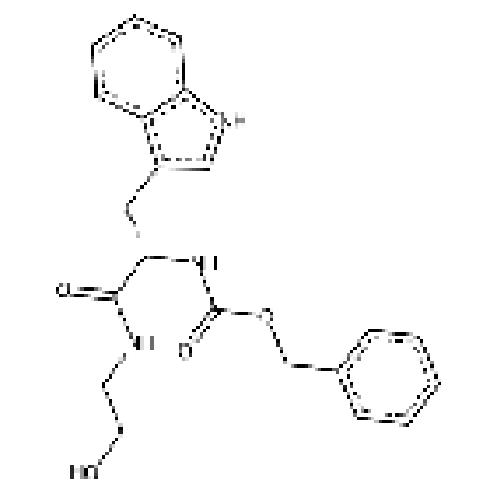 O=C(N[C@@H](Cc1c[nH]c2ccccc12)C(=O)NCCO)OCc1ccccc1